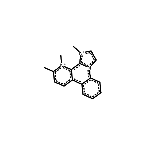 Cc1ccc2c3ccccc3n3cc[n+](C)c3c2[n+]1C